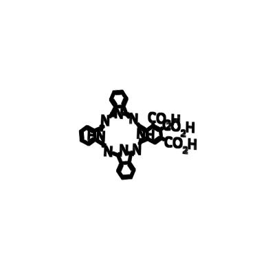 O=C(O)c1cc2c3nc4nc(nc5[nH]c(nc6nc(nc([nH]3)c2c(C(=O)O)c1C(=O)O)-c1ccccc1-6)c1ccccc51)-c1ccccc1-4